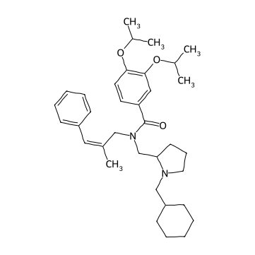 CC(=Cc1ccccc1)CN(CC1CCCN1CC1CCCCC1)C(=O)c1ccc(OC(C)C)c(OC(C)C)c1